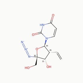 C=C[C@H]1[C@H](n2ccc(=O)[nH]c2=O)O[C@@](CO)(N=[N+]=[N-])[C@H]1O